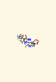 Cc1nc2c(C)nnc(N[C@H](C)c3cccc4c3OCC4(F)F)c2cc1N1C2CCC1COC2